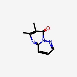 Cc1nc2cccnn2c(=O)c1C